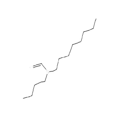 CCCCCCCCN(C=O)CCCC